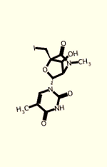 Cc1cn([C@@H]2O[C@]3(CI)C(=O)N(C)C2C3O)c(=O)[nH]c1=O